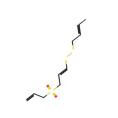 C=CCS(=O)(=O)C/C=C/SSC/C=C/CCC